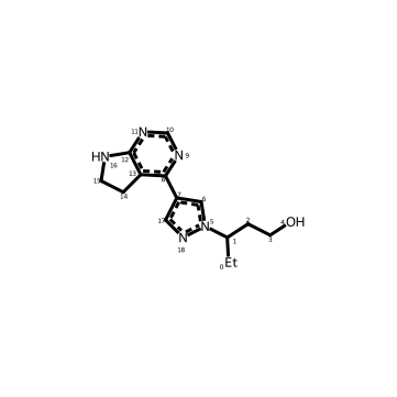 CCC(CCO)n1cc(-c2ncnc3c2CCN3)cn1